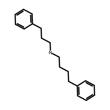 c1ccc(CCCC[N]CCCc2ccccc2)cc1